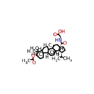 C=C(C)[C@@H]1CC[C@]2(C(=O)NCC(=O)O)CC[C@]3(C)[C@H](CC[C@@H]4[C@@]5(C)CC[C@H](OC(C)=O)C(C)(C)[C@@H]5CC[C@]43C)[C@@H]12